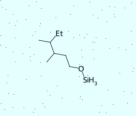 CCC(C)C(C)CCO[SiH3]